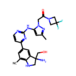 Cc1cc(Nc2nccc(-c3cc(C#N)c4c(c3)C(N)(CO)CN4)n2)n(CC(=O)N2CC(F)(F)C2)n1